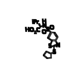 CC(C)[C@@H](NS(=O)(=O)c1ccc2nc(SC3CCCC3)sc2c1)C(=O)O